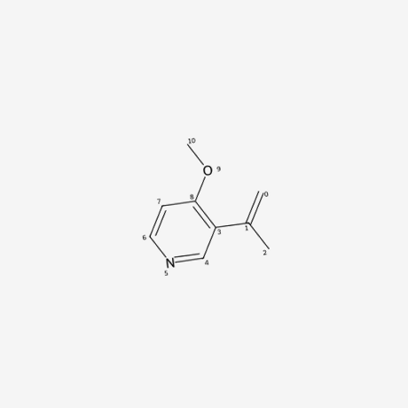 C=C(C)c1cnccc1OC